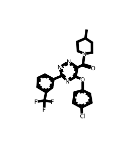 CC1CCN(C(=O)c2nnc(-c3cccc(C(F)(F)F)c3)nc2Oc2ccc(Cl)cc2)CC1